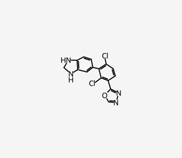 Clc1ccc(-c2nnco2)c(Cl)c1-c1ccc2c(c1)NCN2